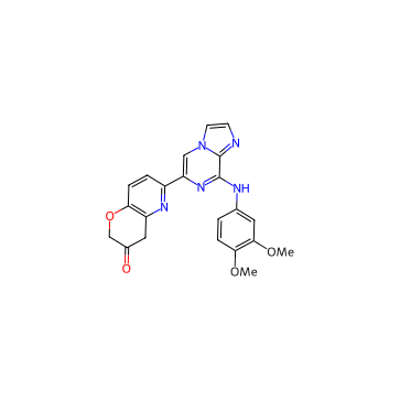 COc1ccc(Nc2nc(-c3ccc4c(n3)CC(=O)CO4)cn3ccnc23)cc1OC